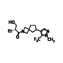 CC[C@H](CO)C(=O)N1CC2(CCC(c3cnn(C)c3C(F)(F)F)C2)C1